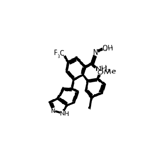 COc1ccc(C)cc1-c1c(/C(N)=N/O)cc(C(F)(F)F)cc1-c1ccc2[nH]ncc2c1